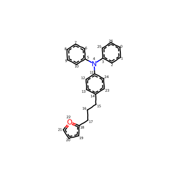 c1ccc(N(c2ccccc2)c2ccc(CCCc3ccco3)cc2)cc1